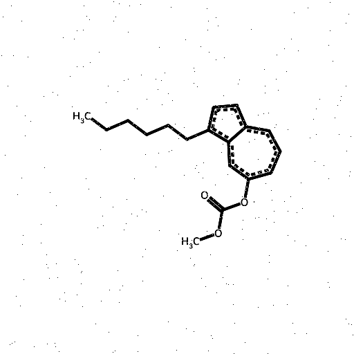 CCCCCCc1ccc2cccc(OC(=O)OC)cc1-2